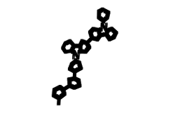 Cc1cccc(-c2cccc(-c3ccc(-n4c5c(c6cc(-c7ccc8c(c7)c7ccccc7n8-c7ccccc7)ccc64)C=CCC5)cc3)c2)c1